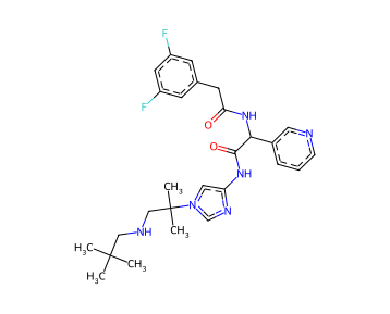 CC(C)(C)CNCC(C)(C)n1cnc(NC(=O)C(NC(=O)Cc2cc(F)cc(F)c2)c2cccnc2)c1